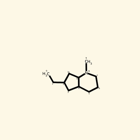 CCC1CC2CCCN(C)C2C1